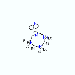 CCC1=C(CC)c2nc1c(CC)c1[nH]c(cc3nc(cc4c(CC)c(CC)c(c2CC)n4CC)C=C3)cc1CC.c1ccc2ncccc2c1